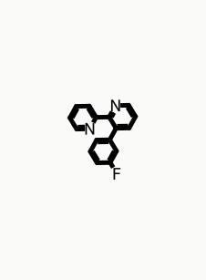 Fc1cccc(-c2cccnc2-c2ccccn2)c1